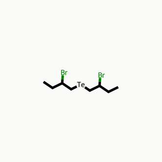 CCC(Br)C[Te]CC(Br)CC